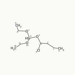 CCCC(Cl)O[SiH](OCC)OCC